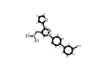 CCN(CC)Cc1cn(-c2ccc(-c3cccc(F)c3)cc2)nc1-c1ccco1